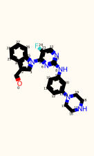 O=Cc1cn(-c2nc(Nc3cccc(N4CCNCC4)c3)ncc2F)c2ccccc12